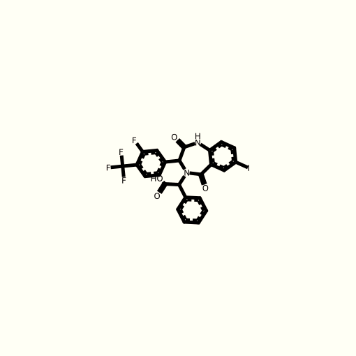 O=C(O)C(c1ccccc1)N1C(=O)c2cc(I)ccc2NC(=O)C1c1ccc(C(F)(F)F)c(F)c1